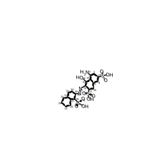 Nc1cc(S(=O)(=O)O)cc2cc(S(=O)(=O)O)c(/N=N/c3ccc4ccccc4c3S(=O)(=O)O)c(O)c12